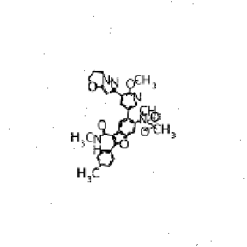 CNC(=O)c1c(-c2ccc(C)cc2)oc2cc(N(C)S(C)(=O)=O)c(-c3cnc(OC)c(-c4cc5n(n4)CCCO5)c3)cc12